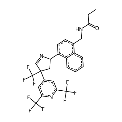 CCC(=O)NCc1ccc(C2CC(c3cc(C(F)(F)F)nc(C(F)(F)F)c3)(C(F)(F)F)C=N2)c2ccccc12